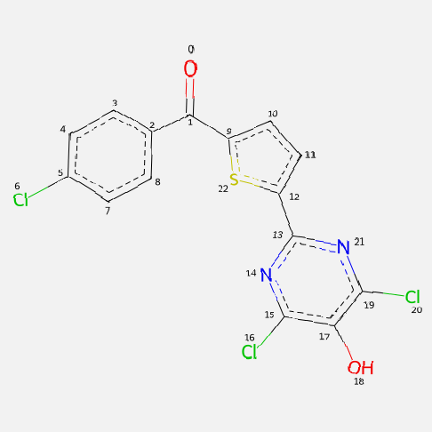 O=C(c1ccc(Cl)cc1)c1ccc(-c2nc(Cl)c(O)c(Cl)n2)s1